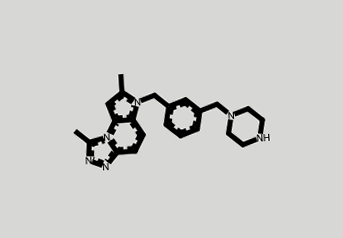 Cc1cc2c(ccc3nnc(C)n32)n1Cc1cccc(CN2CCNCC2)c1